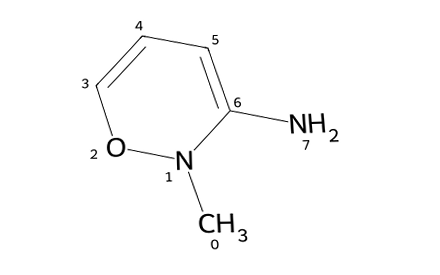 CN1OC=CC=C1N